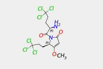 COC1=CC(=O)N(C(=O)[C@H](N)CCC(Cl)(Cl)Cl)[C@@H]1CCC(Cl)(Cl)Cl